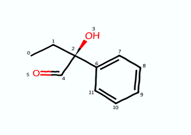 CC[C@@](O)(C=O)c1ccccc1